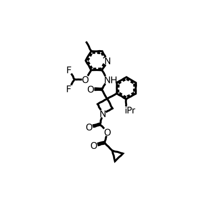 Cc1cnc(NC(=O)C2(c3ccccc3C(C)C)CN(C(=O)OC(=O)C3CC3)C2)c(OC(F)F)c1